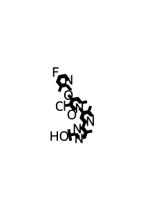 Cc1cnc(-c2nc(C(C)(C)O)ncc2C)cc1-n1c(C)cc(OCc2ncc(F)cc2C)c(Cl)c1=O